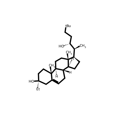 CC[C@]1(O)CC[C@@]2(C)C(=CC[C@H]3[C@@H]4CC[C@H]([C@H](C)[C@H](O)CCC(C)(C)C)[C@@]4(C)CC[C@@H]32)C1